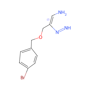 N=N/C(=C\N)COCc1ccc(Br)cc1